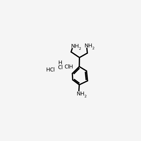 Cl.Cl.Cl.NCC(CN)c1ccc(N)cc1